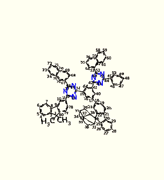 CC1(C)c2ccccc2-c2cc(-c3nc(-c4cc(-c5ccc6c(c5)C5(c7ccccc7-6)C6CC7CC(C6)CC5C7)cc(-c5nc(-c6ccccc6)nc(-c6cccc7ccccc67)n5)c4)nc(-c4ccc5ccccc5c4)n3)ccc21